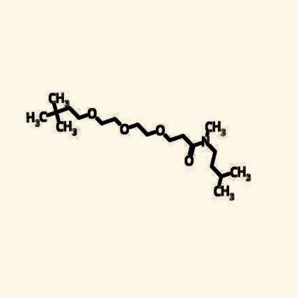 CC(C)CCN(C)C(=O)CCOCCOCCOCCC(C)(C)C